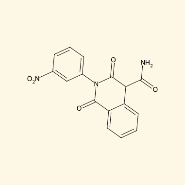 NC(=O)C1C(=O)N(c2cccc([N+](=O)[O-])c2)C(=O)c2ccccc21